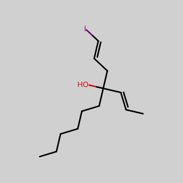 CC=CC(O)(CC=CI)CCCCCC